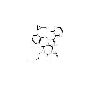 C=C(c1c(NC=O)nc(-c2nccnc2OCC2CC2)n1Cc1ccccc1)N(CCC)C(C)C